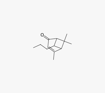 CCCC1C2C(=O)C=C(C)C1C2(C)C